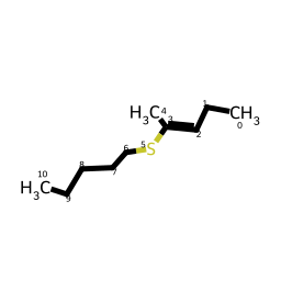 CC/C=C(\C)SCCCCC